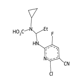 CCC(Nc1nc(Cl)c(C#N)cc1F)N(C(=O)O)C1CC1